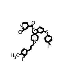 Cc1ccc(/C=C/CN2CCC3(CC2)CN(C(=O)c2ccnc(Cl)c2)c2ccc(Sc4ccc(F)cc4)cc23)cc1F